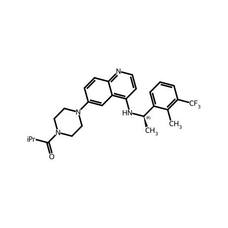 Cc1c([C@@H](C)Nc2ccnc3ccc(N4CCN(C(=O)C(C)C)CC4)cc23)cccc1C(F)(F)F